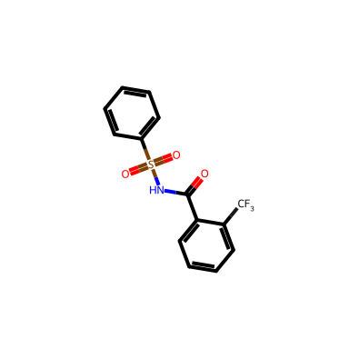 O=C(NS(=O)(=O)c1ccccc1)c1ccccc1C(F)(F)F